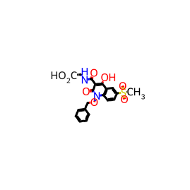 CS(=O)(=O)c1ccc2c(c1)c(O)c(C(=O)NCC(=O)O)c(=O)n2OCc1ccccc1